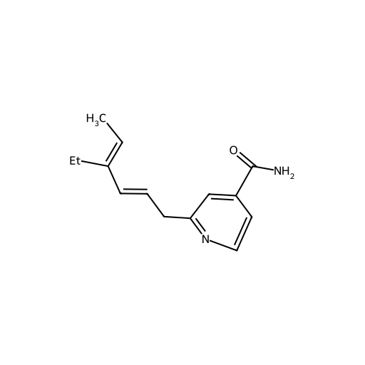 CC=C(C=CCc1cc(C(N)=O)ccn1)CC